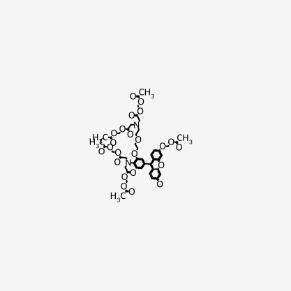 CC(=O)OCOC(=O)CN(CCOCCOc1cc(-c2c3ccc(=O)cc-3oc3cc(OCOC(C)=O)ccc23)ccc1N(CC(=O)OCOC(C)=O)CC(=O)OCOC(C)=O)CC(=O)OCOC(C)=O